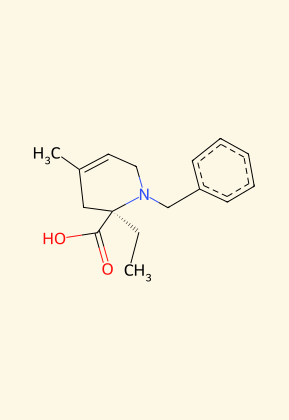 CC[C@]1(C(=O)O)CC(C)=CCN1Cc1ccccc1